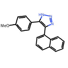 COc1ccc(-c2[nH]nnc2-c2cccc3ccccc23)cc1